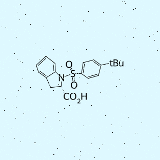 CC(C)(C)c1ccc(S(=O)(=O)N2c3ccccc3C[C@H]2C(=O)O)cc1